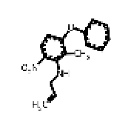 C=CCNc1c([N+](=O)[O-])ccc(Oc2ccccc2)c1C